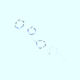 CCN1CCN(c2ccc(Nc3ncc(F)c(-c4ccccn4)n3)nc2)CC1